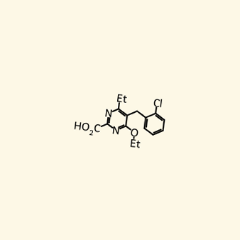 CCOc1nc(C(=O)O)nc(CC)c1Cc1ccccc1Cl